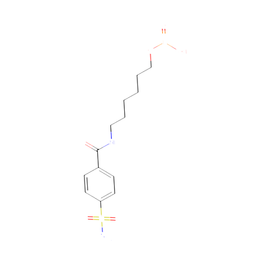 NS(=O)(=O)c1ccc(C(=O)NCCCCCCO[PH](=O)O)cc1